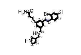 NC(=O)CCOc1cc(/C=C/c2ccc(Cl)cc2Br)cc(CNCC2CCNC2)c1